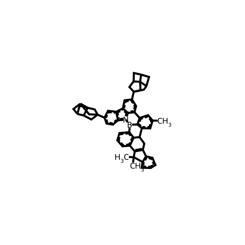 Cc1cc2c3c(c1)C1CC4=C(c5cccc(c51)B3n1c3ccc(C56CC7CC8CC7(C5)C8C6)cc3c3cc(C56CC7CC8CC(C5)C87C6)cc-2c31)C(C)(C)c1ccccc14